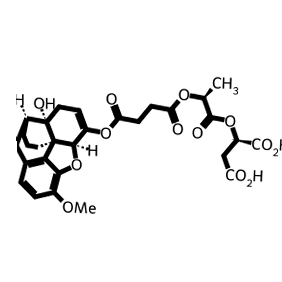 COc1ccc2c3c1O[C@@H]1C(OC(=O)CCC(=O)O[C@@H](C)C(=O)O[C@H](CC(=O)O)C(=O)O)=CC[C@]4(O)[C@@H](CCC[C@@]314)C2